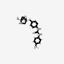 O=C(Nc1ccc(C[C@@]23CN[C@@H](CO2)C3)cc1)Nc1ccc(C(F)(F)F)cc1